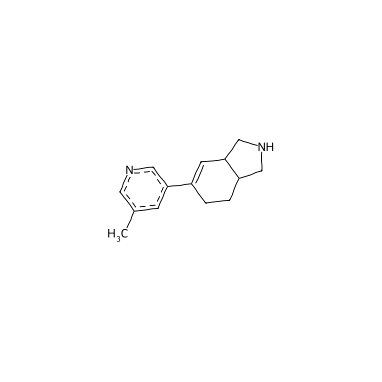 Cc1cncc(C2=CC3CNCC3CC2)c1